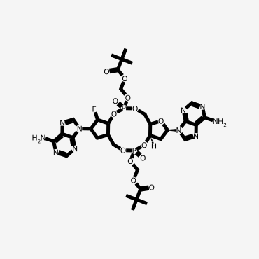 CC(C)(C)C(=O)OCOP1(=O)OCC2O[C@@H](n3cnc4c(N)ncnc43)C[C@H]2OP(=O)(OCOC(=O)C(C)(C)C)OCC2CC(n3cnc4c(N)ncnc43)C(F)C2O1